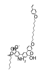 C=Cc1ccc(OCCCCCCCCCCCOc2ccc(-c3cc(-c4cc([N+](=O)[O-])c(O[C@H](C)CCCCCC)cc4N)ccc3C(=O)O)cc2)cc1